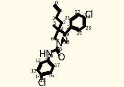 C=CCCC1(C)CN(C(=O)Nc2ccc(Cl)cc2)N=C1c1ccc(Cl)cc1